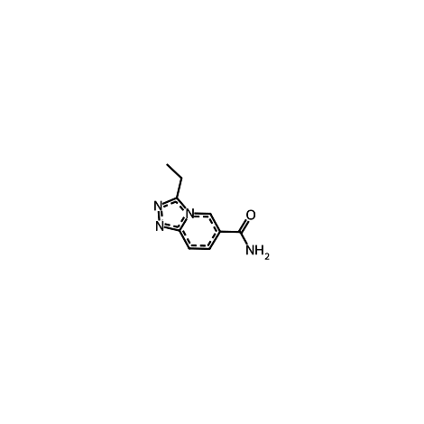 CCc1nnc2ccc(C(N)=O)cn12